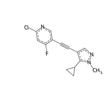 Cn1ncc(C#Cc2cnc(Cl)cc2F)c1C1CC1